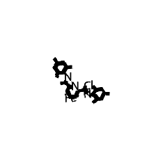 C/C(=N\c1c(C)cc(C)cc1C)c1cccc(/C(C)=N/c2c(C)cc(C)cc2Cl)n1.[Fe]